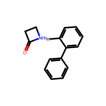 O=C1CCN1.[2H]c1ccccc1-c1ccccc1